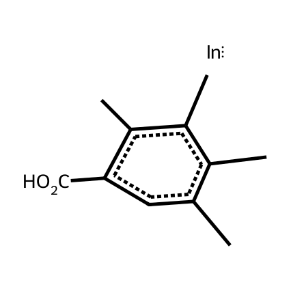 Cc1cc(C(=O)O)c(C)c(C)c1C.[In]